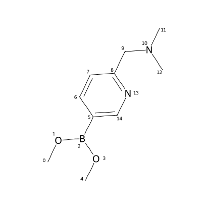 COB(OC)c1ccc(CN(C)C)nc1